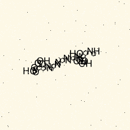 Cc1cc(N=Nc2cc(O)c(N=Nc3c(S(=O)(=O)O)cc4cc(Nc5ccccc5)ccc4c3O)cc2C)ccc1N=Nc1ccc(N=Nc2ccc3cc(S(=O)(=O)O)cc(S(=O)(=O)O)c3c2)c(C)c1